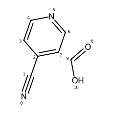 N#Cc1ccncc1.O=CO